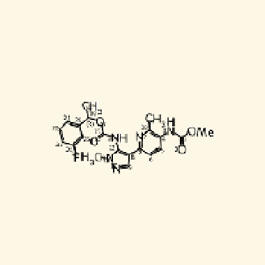 COC(=O)Nc1ccc(-c2cnn(C)c2NC(=O)O[C@H](C)c2cccc(F)c2)nc1C